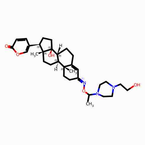 CC(O/N=C1/C=C2CC[C@@H]3[C@H](CC[C@]4(C)[C@@H](c5ccc(=O)oc5)CC[C@]34O)[C@@]2(C)CC1)N1CCN(CCO)CC1